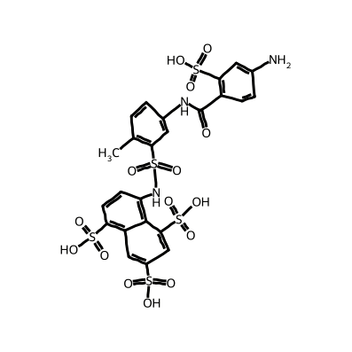 Cc1ccc(NC(=O)c2ccc(N)cc2S(=O)(=O)O)cc1S(=O)(=O)Nc1ccc(S(=O)(=O)O)c2cc(S(=O)(=O)O)cc(S(=O)(=O)O)c12